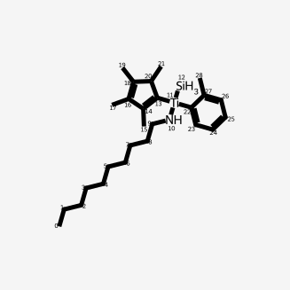 CCCCCCCCCC[NH][Ti]([SiH3])([C]1=C(C)C(C)=C(C)C1C)[c]1ccccc1C